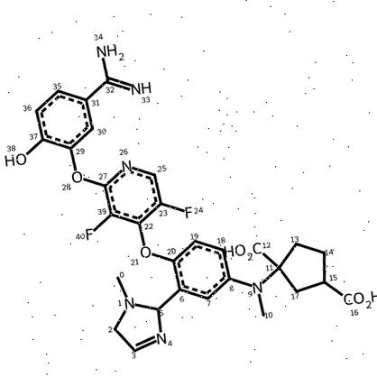 CN1CC=NC1c1cc(N(C)C2(C(=O)O)CCC(C(=O)O)C2)ccc1Oc1c(F)cnc(Oc2cc(C(=N)N)ccc2O)c1F